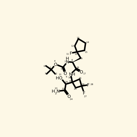 CC(C)(C)OC(=O)N[C@@H](CC1(F)CCCC1)C(=O)NC1(C(O)C(N)=O)CC(F)(F)C1